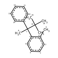 Cc1ccccc1C(C)(c1ccccc1)C(C)(C)C